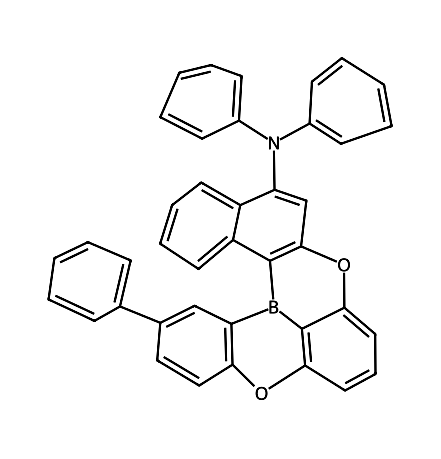 c1ccc(-c2ccc3c(c2)B2c4c(cccc4Oc4cc(N(c5ccccc5)c5ccccc5)c5ccccc5c42)O3)cc1